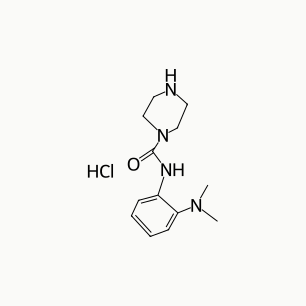 CN(C)c1ccccc1NC(=O)N1CCNCC1.Cl